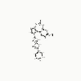 Clc1ccc2c(c1)CNCc1nnc(C3CC4(C3)CN(c3ccccn3)C4)n1-2